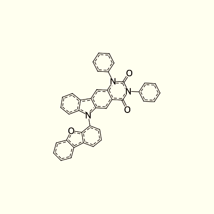 O=c1c2cc3c(cc2n(-c2ccccc2)c(=O)n1-c1ccccc1)c1ccccc1n3-c1cccc2c1oc1ccccc12